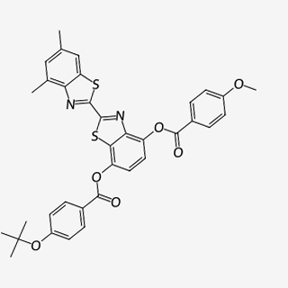 COc1ccc(C(=O)Oc2ccc(OC(=O)c3ccc(OC(C)(C)C)cc3)c3sc(-c4nc5c(C)cc(C)cc5s4)nc23)cc1